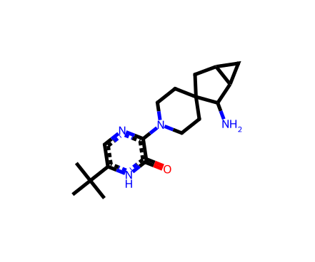 CC(C)(C)c1cnc(N2CCC3(CC2)CC2CC2C3N)c(=O)[nH]1